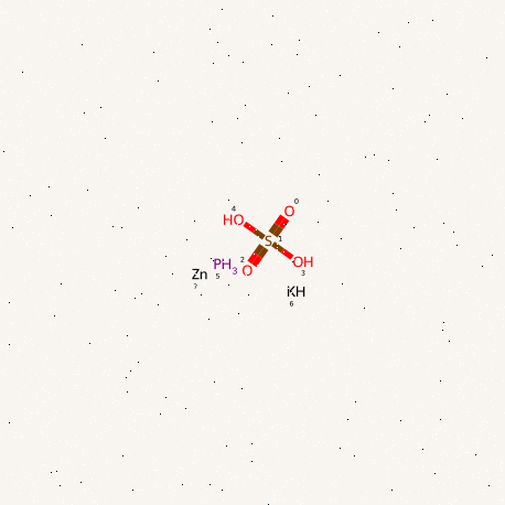 O=S(=O)(O)O.P.[KH].[Zn]